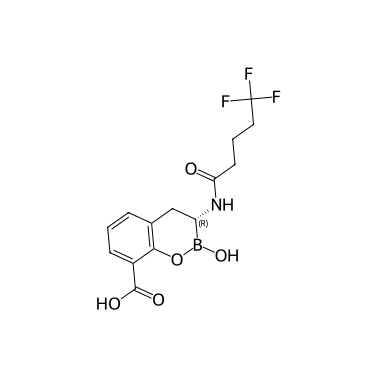 O=C(CCCC(F)(F)F)N[C@H]1Cc2cccc(C(=O)O)c2OB1O